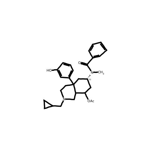 CC(=O)OC1C[C@@H](N(C)C(=O)c2ccccc2)CC2(c3cccc(O)c3)CCN(CC3CC3)CC12